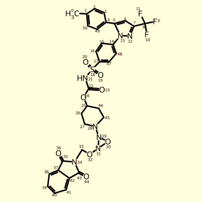 Cc1ccc(-c2cc(C(F)(F)F)nn2-c2ccc(S(=O)(=O)NC(=O)OC3CCN(n4on4OCN4C(=O)c5ccccc5C4=O)CC3)cc2)cc1